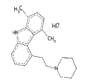 Cc1ccc(C)c2c1[nH]c1cccc(CCN3CCCCC3)c12.Cl